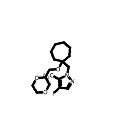 Cc1c(I)cnn1CC1(OCC2COCCO2)CCCCCC1